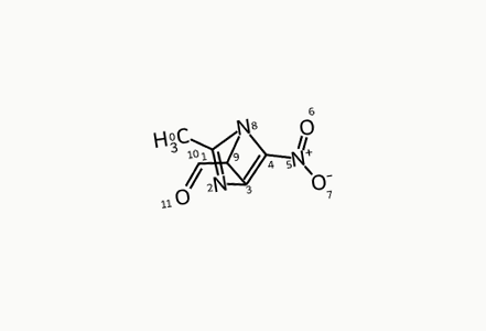 Cc1nc2c([N+](=O)[O-])n1C2C=O